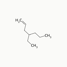 C=CC[C](CC)CCC